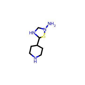 NN1CNC(C2CCNCC2)S1